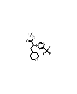 COC(=O)C(CC1CCOCC1)n1cnc(C(F)(F)F)c1